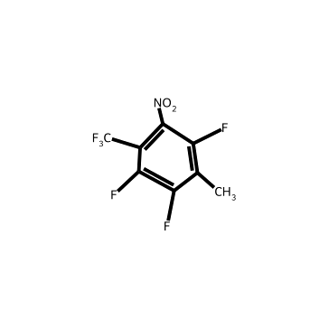 Cc1c(F)c(F)c(C(F)(F)F)c([N+](=O)[O-])c1F